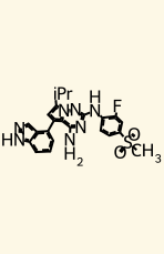 CC(C)c1cc(-c2cccc3[nH]ncc23)c2c(N)nc(Nc3ccc(S(C)(=O)=O)cc3F)nn12